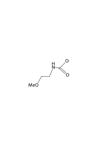 COCCNC([O])=O